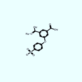 O=C(O)c1cc(Oc2ccc(S(=O)(=O)[O-])cc2)cc(C(=O)O)c1.[Na+]